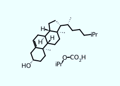 CC(C)CCC[C@@H](C)[C@H]1CC[C@H]2[C@@H]3CC=C4C[C@@H](O)CC[C@]4(C)[C@H]3CC[C@]12C.CC(C)OC(=O)O